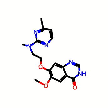 COc1cc2c(=O)[nH]cnc2cc1OCCN(C)c1nccc(C)n1